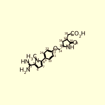 Cn1c(C(=N)N)ccc1-c1ccc(OC[C@@H]2C[C@@H](CC(=O)O)C(=O)N2)cc1